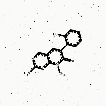 Cc1ccccc1-c1cc2cnc(N)nc2n(C)c1=N